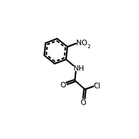 O=C(Cl)C(=O)Nc1ccccc1[N+](=O)[O-]